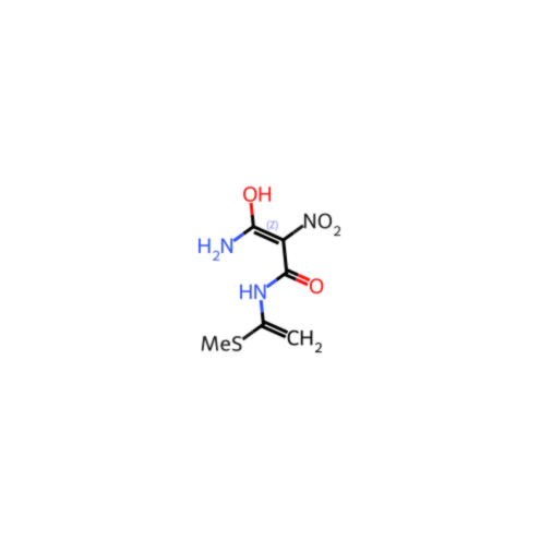 C=C(NC(=O)/C(=C(\N)O)[N+](=O)[O-])SC